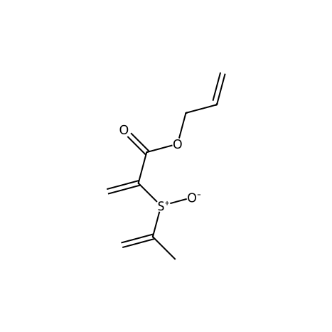 C=CCOC(=O)C(=C)[S+]([O-])C(=C)C